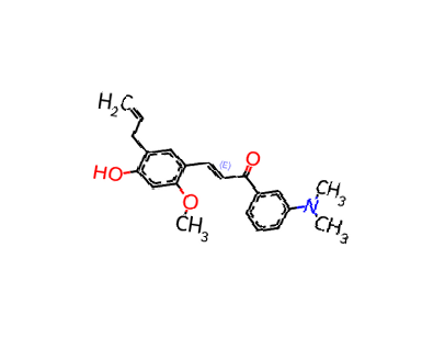 C=CCc1cc(/C=C/C(=O)c2cccc(N(C)C)c2)c(OC)cc1O